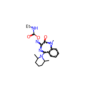 CCNC(=O)ON=c1nc(N2C(C)CCCC2C)c2ccccc2n(C)c1=O